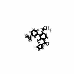 COc1ccc(C(=O)c2cccs2)c(F)c1-c1cccc([N+](=O)[O-])c1